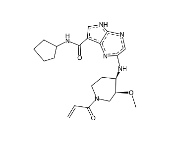 C=CC(=O)N1CC[C@@H](Nc2cnc3[nH]cc(C(=O)NC4CCCC4)c3n2)[C@@H](OC)C1